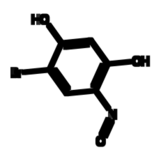 O=Nc1cc(Br)c(O)cc1O